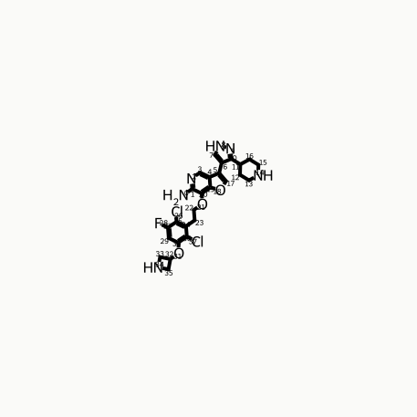 Nc1ncc2c(-c3c[nH]nc3C3CCNCC3)coc2c1OCCc1c(Cl)c(F)cc(OC2CNC2)c1Cl